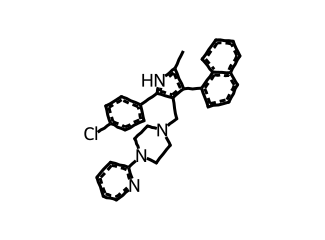 Cc1[nH]c(-c2ccc(Cl)cc2)c(CN2CCN(c3ccccn3)CC2)c1-c1cccc2ccccc12